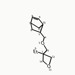 CCC1(COCC2CC3C=CC2C3)COC1